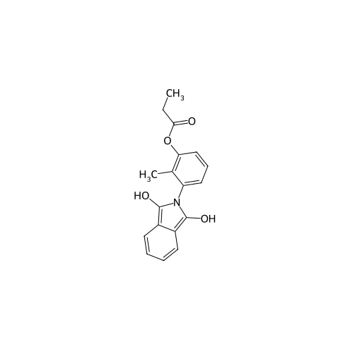 CCC(=O)Oc1cccc(-n2c(O)c3ccccc3c2O)c1C